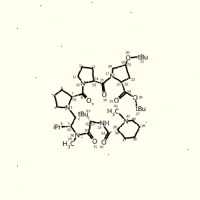 CC(C)[C@@H](CN1CCC[C@H]1C(=O)N1CCC[C@H]1C(=O)N1C[C@@H](OC(C)(C)C)C[C@H]1C(=O)OC(C)(C)C)N(C)C(=O)[C@@H](NC(=O)[C@H]1CCCCN1C)C(C)(C)C